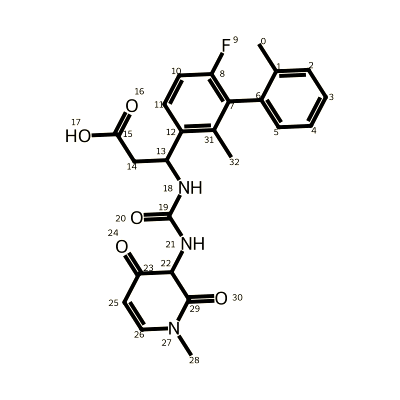 Cc1ccccc1-c1c(F)ccc(C(CC(=O)O)NC(=O)NC2C(=O)C=CN(C)C2=O)c1C